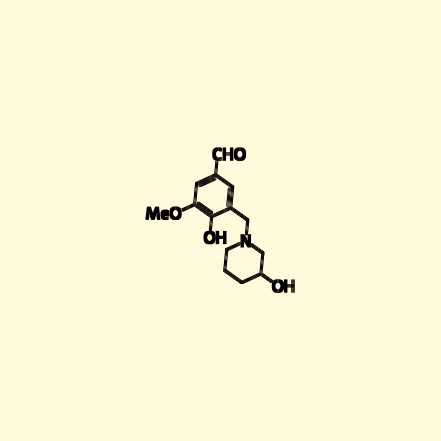 COc1cc(C=O)cc(CN2CCCC(O)C2)c1O